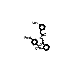 CCCCCc1ccc(S(=O)(=O)Oc2ccccc2/C=N/NC(=O)Cc2cccc(OC)c2)cc1